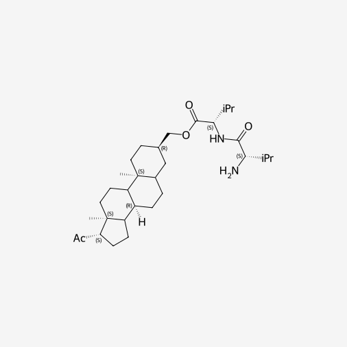 CC(=O)[C@H]1CCC2[C@@H]3CCC4C[C@H](COC(=O)[C@@H](NC(=O)[C@@H](N)C(C)C)C(C)C)CC[C@]4(C)C3CC[C@@]21C